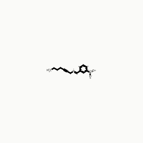 CCCCC#CCN=Cc1cccc([N+](=O)[O-])c1